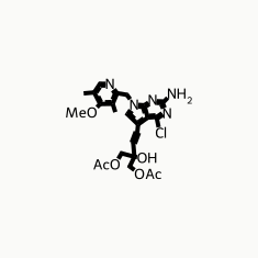 COc1c(C)cnc(Cn2cc(C#CC(O)(COC(C)=O)COC(C)=O)c3c(Cl)nc(N)nc32)c1C